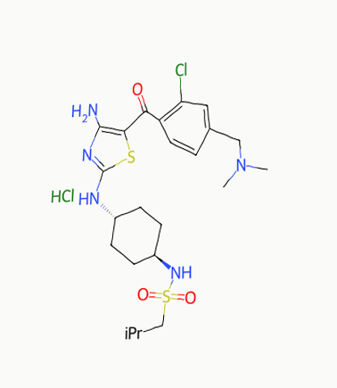 CC(C)CS(=O)(=O)N[C@H]1CC[C@H](Nc2nc(N)c(C(=O)c3ccc(CN(C)C)cc3Cl)s2)CC1.Cl